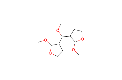 COC1OCCC1C(OC)C1CCOC1OC